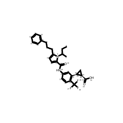 CCC(C)n1c(CCCc2ccccc2)ccc1C(=O)Nc1ccc(C(F)(F)F)c([C@H]2C[C@H]2C(=O)O)c1